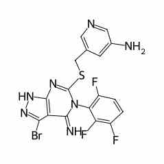 N=c1c2c(Br)n[nH]c2nc(SCc2cncc(N)c2)n1-c1c(F)ccc(F)c1F